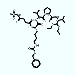 CCOC(OCC)[C@@H](NC(=O)[C@@H]1CCCN1C(=O)[C@@H](NC(=O)[C@H](CCCCNC(=O)OCc1ccccc1)NC(=O)CCC(=O)NS(C)(=O)=O)C(C)C)C(C)C